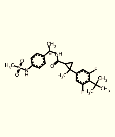 C[C@@H](NC(=O)C1CC1(C)c1cc(F)c(C(C)(C)C)c(F)c1)c1ccc(NS(C)(=O)=O)cc1